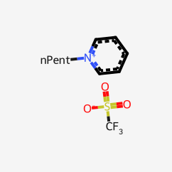 CCCCC[n+]1ccccc1.O=S(=O)([O-])C(F)(F)F